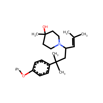 CC(C)=CC(CC(C)(C)c1ccc(OC(C)C)cc1)N1CCC(C)(O)CC1